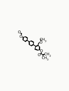 C=C(C)C(=O)Oc1ccc(-c2ccc(-c3ccc(OC=O)cc3)cc2)c(COC)c1